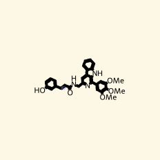 COc1cc(-c2nc(CNC(=O)/C=C/c3cccc(O)c3)cc3c2[nH]c2ccccc23)cc(OC)c1OC